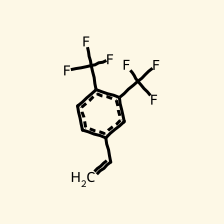 C=Cc1ccc(C(F)(F)F)c(C(F)(F)F)c1